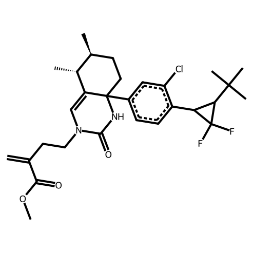 C=C(CCN1C=C2[C@H](C)[C@@H](C)CCC2(c2ccc(C3C(C(C)(C)C)C3(F)F)c(Cl)c2)NC1=O)C(=O)OC